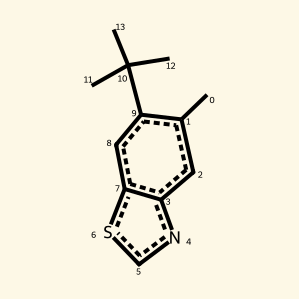 Cc1cc2ncsc2cc1C(C)(C)C